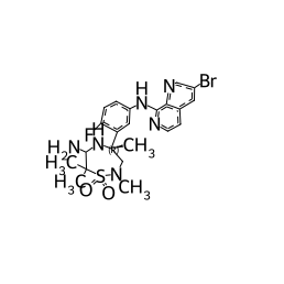 CN1C[C@@](C)(c2cc(Nc3nccc4cc(Br)cnc34)ccc2F)NC(N)C(C)(C)S1(=O)=O